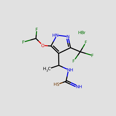 Br.CC(NC(=N)S)c1c(C(F)(F)F)n[nH]c1OC(F)F